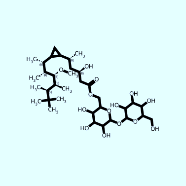 CO[C@H]([C@@H](C)[C@H](C)C(C)(C)C)[C@H](C)[C@H](C)C1CC1[C@H](C)C[C@@H](O)CC(=O)OCC1OC(OC2OC(CO)C(O)C(O)C2O)C(O)C(O)C1O